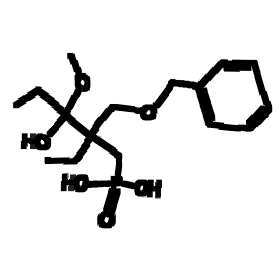 CCC(COCc1ccccc1)(CP(=O)(O)O)C(O)(CC)OC